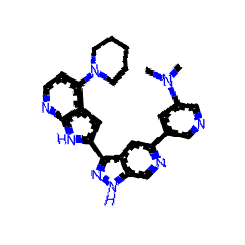 CN(C)c1cncc(-c2cc3c(-c4cc5c(N6CCCCC6)ccnc5[nH]4)n[nH]c3cn2)c1